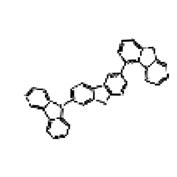 c1ccc2c(c1)sc1cccc(-c3ccc4sc5cc(-n6c7ccccc7c7ccccc76)ccc5c4c3)c12